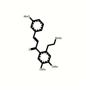 COc1cccc(/C=C/C(=O)c2cc(OC)c(OC)cc2CCNC(C)=O)c1